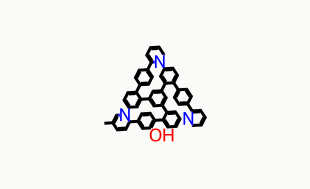 Cc1ccc(-c2ccc(-c3ccccc3-c3cc(-c4ccccc4-c4ccc(-c5ccccn5)cc4)cc(-c4ccccc4-c4ccc(-c5ccccn5)cc4)c3)c(O)c2)nc1